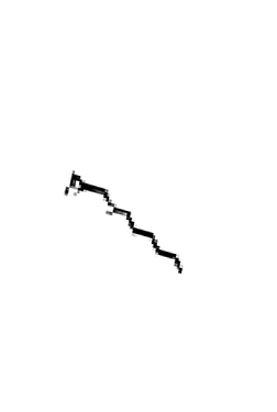 CC=CC=CCOCC1CO1